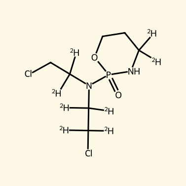 [2H]C1([2H])CCOP(=O)(N(C([2H])([2H])CCl)C([2H])([2H])C([2H])([2H])Cl)N1